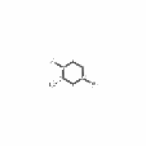 CC(C)N1CCN(C(C)(C)C)C[C@@H]1C